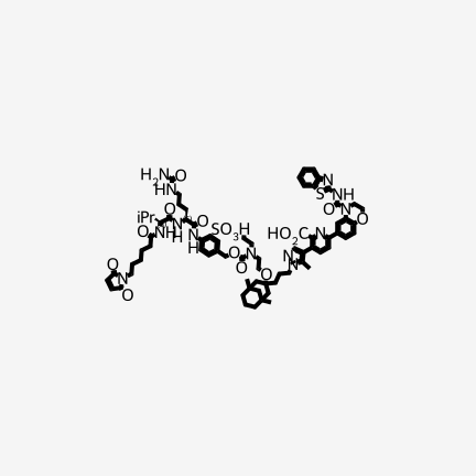 Cc1c(-c2ccc(-c3ccc4c(c3)N(C(=O)Nc3nc5ccccc5s3)CCO4)nc2C(=O)O)cnn1CCCC1(OCCN(CCS(=O)(=O)O)C(=O)OCc2ccc(NC(=O)[C@H](CCCNC(N)=O)NC(=O)[C@@H](NC(=O)CCCCCN3C(=O)C=CC3=O)C(C)C)cc2)CC2(C)CCCC(C)(C2)C1